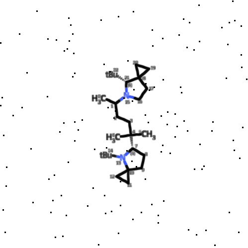 CC(CCC(C)(C)[C@@H]1CCC2(CC2)N1C(C)(C)C)N1CCC2(CC2)[C@H]1C(C)(C)C